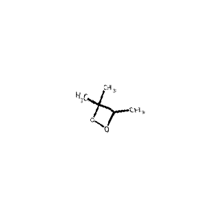 CC1OOC1(C)C